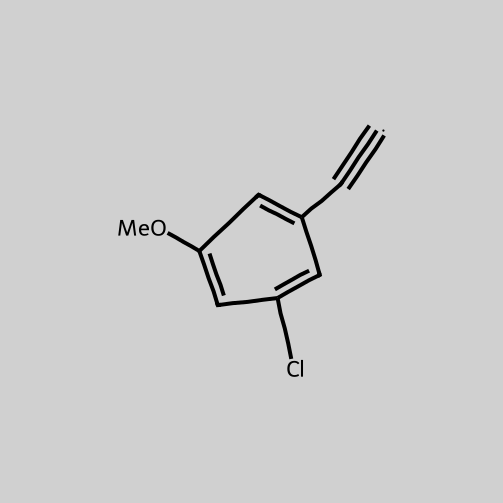 [C]#Cc1cc(Cl)cc(OC)c1